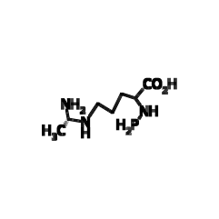 C[C@H](N)NCCCC(NP)C(=O)O